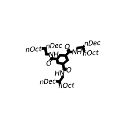 CCCCCCCCCCC(CCCCCCCC)CNC(=O)C1CC(C(=O)NCC(CCCCCCCC)CCCCCCCCCC)CC(C(=O)NCC(CCCCCCCC)CCCCCCCCCC)C1